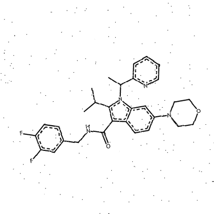 CC(C)c1c(C(=O)NCc2ccc(F)c(F)c2)c2ccc(N3CCOCC3)cc2n1C(C)c1ccccn1